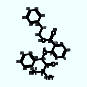 CCCN(CCC)C(=O)C(Oc1ccccc1C(=O)OCCc1ccccc1)c1ccccc1